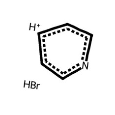 Br.[H+].c1ccncc1